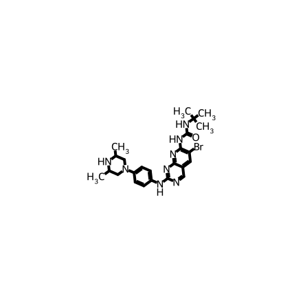 CC1CN(c2ccc(Nc3ncc4cc(Br)c(NC(=O)NC(C)(C)C)nc4n3)cc2)CC(C)N1